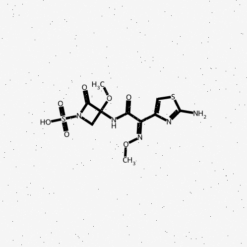 CON=C(C(=O)NC1(OC)CN(S(=O)(=O)O)C1=O)c1csc(N)n1